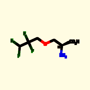 N[C@@H](COCC(F)(F)C(F)F)C(=O)O